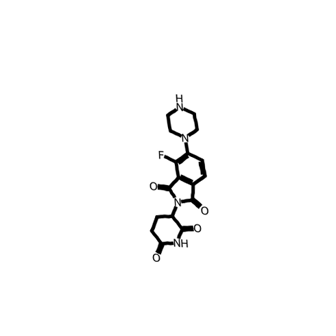 O=C1CCC(N2C(=O)c3ccc(N4CCNCC4)c(F)c3C2=O)C(=O)N1